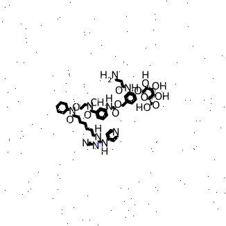 CN(CCON(C(=O)CCCCCCN/C(=N\C#N)Nc1ccncc1)C1CCCCC1)C(=O)c1cccc(NC(=O)OCc2ccc(O[C@@H]3O[C@H](C(=O)O)[C@@H](O)[C@H](O)[C@H]3O)c(NC(=O)CCN)c2)c1